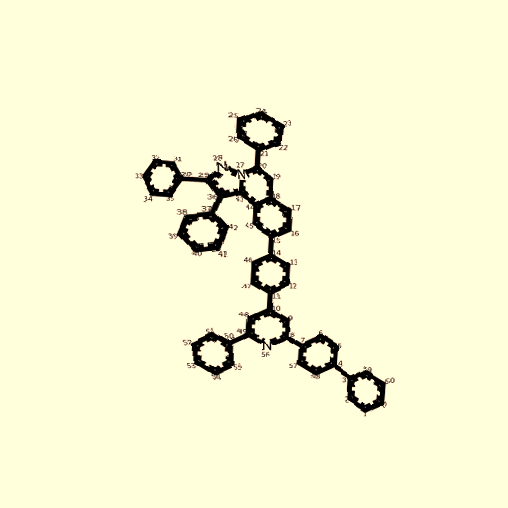 c1ccc(-c2ccc(-c3cc(-c4ccc(-c5ccc6cc(-c7ccccc7)n7nc(-c8ccccc8)c(-c8ccccc8)c7c6c5)cc4)cc(-c4ccccc4)n3)cc2)cc1